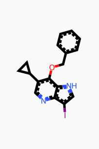 Ic1c[nH]c2c(OCc3ccccc3)c(C3CC3)cnc12